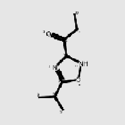 CCC(=O)C1N=C(C(C)C)ON1